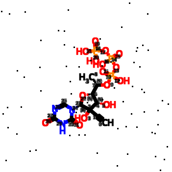 C#CC1(O)[C@@H](O)[C@@H]([C@H](C)OP(=O)(O)OP(=O)(O)OP(=O)(O)O)O[C@H]1n1cnc(=O)[nH]c1=O